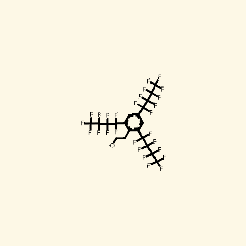 [O]CCc1c(C(F)(F)C(F)(F)C(F)(F)C(F)(F)F)cc(C(F)(F)C(F)(F)C(F)(F)C(F)(F)F)cc1C(F)(F)C(F)(F)C(F)(F)C(F)(F)F